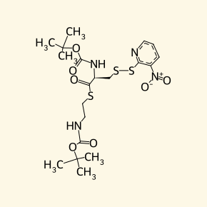 CC(C)(C)OC(=O)NCCSC(=O)[C@H](CSSc1ncccc1[N+](=O)[O-])NC(=O)OC(C)(C)C